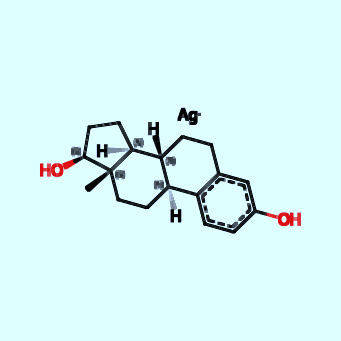 C[C@]12CC[C@@H]3c4ccc(O)cc4CC[C@H]3[C@@H]1CC[C@@H]2O.[Ag]